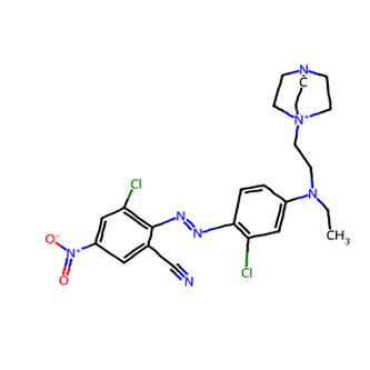 CCN(CC[N+]12CCN(CC1)CC2)c1ccc(N=Nc2c(Cl)cc([N+](=O)[O-])cc2C#N)c(Cl)c1